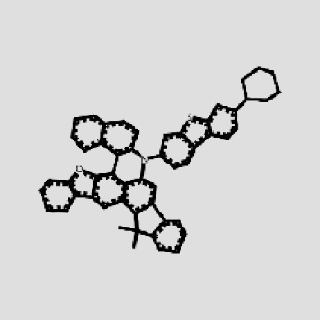 CC1(C)c2ccccc2-c2cc(N(c3ccc4c(c3)sc3cc(C5CCCCC5)ccc34)c3ccc4ccccc4c3-c3cccc4c3oc3ccccc34)ccc21